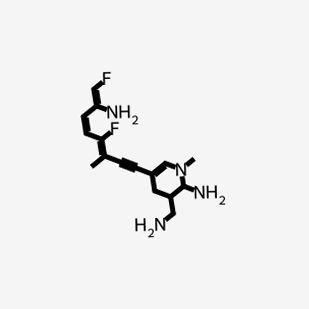 C\C(C#CC1=CN(C)C(N)C(CN)C1)=C(F)/C=C\C(N)=C\F